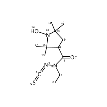 CCN(N=C=S)C(=O)C1CC(C)(C)N(O)C1(C)C